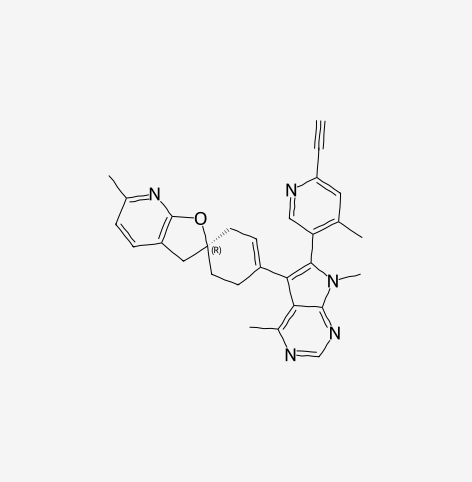 C#Cc1cc(C)c(-c2c(C3=CC[C@]4(CC3)Cc3ccc(C)nc3O4)c3c(C)ncnc3n2C)cn1